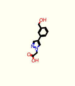 O=C(O)Cn1cc(-c2cccc(CO)c2)cn1